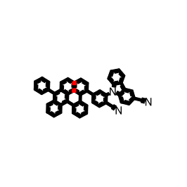 N#Cc1ccc2c(c1)c1ccccc1n2-c1cc(-c2ccccc2-c2ccccc2-c2c3ccccc3c(-c3ccccc3)c3ccccc23)ccc1C#N